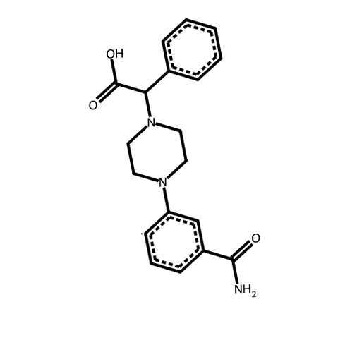 NC(=O)c1cc[c]c(N2CCN(C(C(=O)O)c3ccccc3)CC2)c1